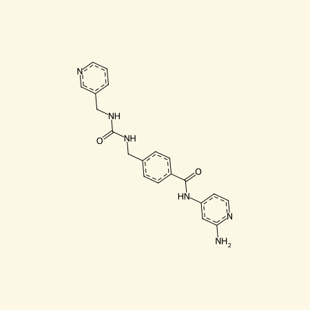 Nc1cc(NC(=O)c2ccc(CNC(=O)NCc3cccnc3)cc2)ccn1